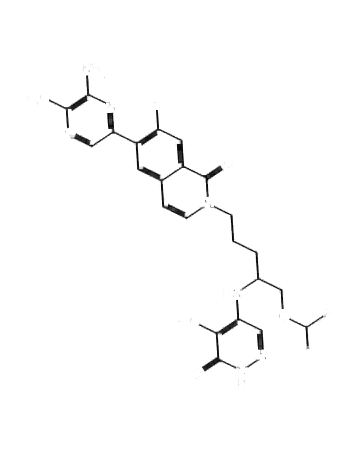 Nc1nc(-c2cc3ccn(CCCC(COC(F)F)Nc4cn[nH]c(=O)c4C(F)(F)F)c(=O)c3cc2F)cnc1C(F)(F)F